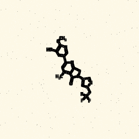 COc1ncc(-c2cc(C)c3c(n2)CN(c2cnn(CC(F)(F)F)c2)C3=O)cc1O